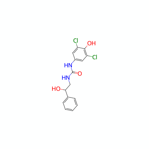 O=C(NCC(O)c1ccccc1)Nc1cc(Cl)c(O)c(Cl)c1